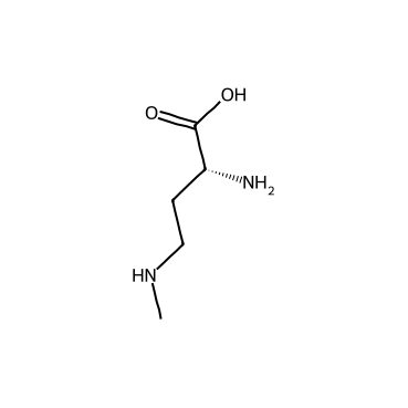 CNCC[C@@H](N)C(=O)O